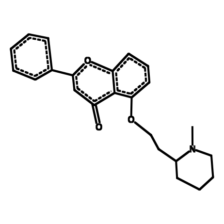 CN1CCCCC1CCOc1cccc2oc(-c3ccccc3)cc(=O)c12